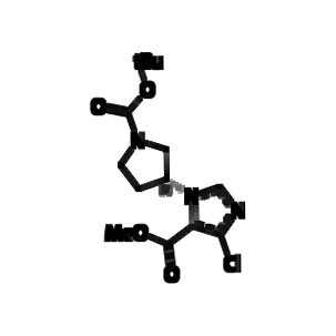 COC(=O)c1c(Cl)ncn1[C@@H]1CCN(C(=O)OC(C)(C)C)C1